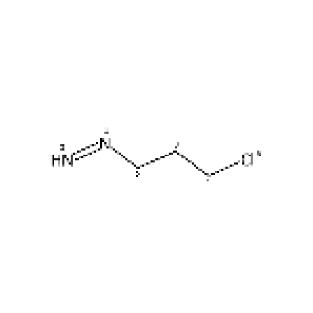 N=NCCCCl